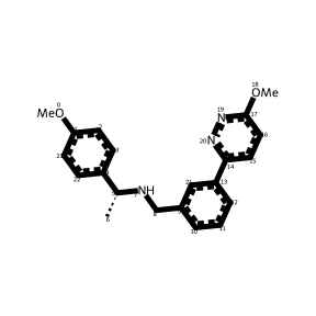 COc1ccc([C@@H](C)NCc2cccc(-c3ccc(OC)nn3)c2)cc1